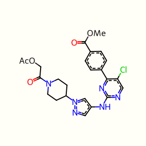 COC(=O)c1ccc(-c2nc(Nc3cnn(C4CCN(C(=O)COC(C)=O)CC4)c3)ncc2Cl)cc1